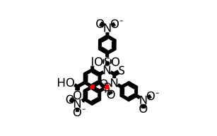 O=C(O)c1cc(I)c(N(C(=S)N(c2ccc([N+](=O)[O-])cc2)S(=O)(=O)c2ccc([N+](=O)[O-])cc2)S(=O)(=O)c2ccc([N+](=O)[O-])cc2)c(I)c1